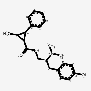 CC1C(C(=O)NC[C@H](Cc2ccc(O)cc2)N(C)C)C1c1ccccc1